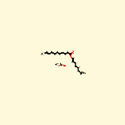 CCCCCCCCC=CCCCCCCCC(=O)OCCCCCCCCCCCCCCCC.O=S(=O)(O)O